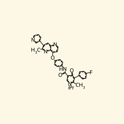 Cc1nc2c(Oc3ccc(NC(=O)c4cn(C(C)C)c(C)c(-c5ccc(F)cc5)c4=O)cc3)ccnc2cc1-c1cccnc1